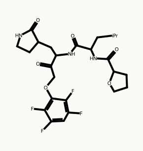 CC(C)CC(NC(=O)C1CCCO1)C(=O)NC(CC1CCNC1=O)C(=O)COc1c(F)c(F)cc(F)c1F